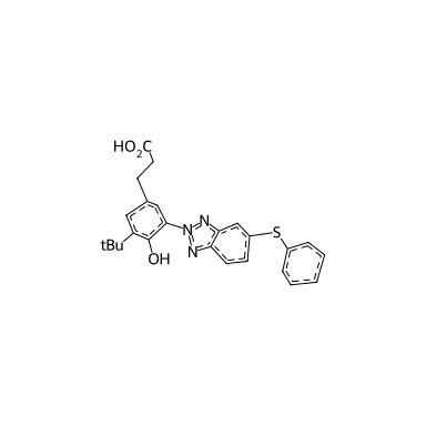 CC(C)(C)c1cc(CCC(=O)O)cc(-n2nc3ccc(Sc4ccccc4)cc3n2)c1O